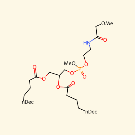 CCCCCCCCCCCCCC(=O)OCC(COP(=O)(OC)OCCNC(=O)COC)OC(=O)CCCCCCCCCCCCC